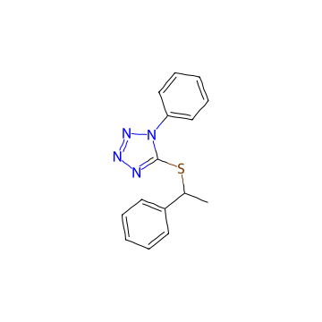 CC(Sc1nnnn1-c1ccccc1)c1ccccc1